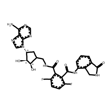 Nc1ncnc2c1ncn2[C@@H]1CC(CNC(=O)c2c(F)ccc(F)c2C(=O)Nc2cccc3c2CNC3=O)[C@@H](O)[C@H]1O